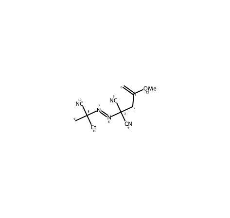 C=C(CC(C#N)(C#N)N=NC(C)(C#N)CC)OC